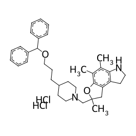 Cc1c(C)c2c(c3c1NCC3)CC(C)(CN1CCC(CCCOC(c3ccccc3)c3ccccc3)CC1)O2.Cl.Cl